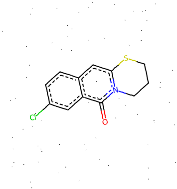 O=c1c2cc(Cl)ccc2cc2n1CCCS2